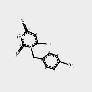 Cc1ccc(Cn2c(Cl)cc(=O)[nH]c2=O)cc1